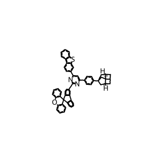 c1ccc2c(c1)Oc1ccccc1C21c2ccccc2-c2cc(-c3nc(-c4ccc(C56C[C@H]7CC8C[C@@H](C5)C87C6)cc4)cc(-c4ccc5c(c4)sc4ccccc45)n3)ccc21